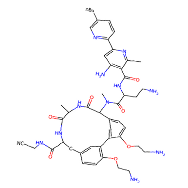 CCCCc1ccc(-c2cc(N)c(C(=O)NC(CCN)C(=O)N(C)C3C(=O)NC(C)C(=O)NC(C(=O)NCC#N)Cc4ccc(OCCN)c(c4)-c4cc3ccc4OCCN)c(C)n2)nc1